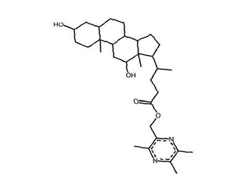 Cc1nc(C)c(COC(=O)CCC(C)C2CCC3C4CCC5CC(O)CCC5(C)C4CC(O)C23C)nc1C